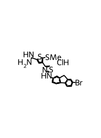 CSc1sc(C(=N)N)cc1-c1csc(Nc2ccc3c(c2)Cc2cc(Br)ccc2-3)n1.Cl